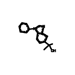 CC(C)(O)c1ccc2c(c1)ncn2-c1ccccc1